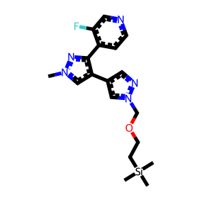 Cn1cc(-c2cnn(COCC[Si](C)(C)C)c2)c(-c2ccncc2F)n1